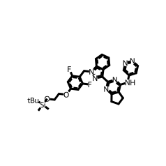 CC(C)(C)[Si](C)(C)OCCOc1cc(F)c(Cn2nc(-c3nc4c(c(Nc5ccnnc5)n3)CCC4)c3ccccc32)c(F)c1